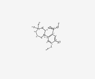 COC(=O)c1cc(Cl)c(CF)nc1N1CCCC(F)(F)CC1